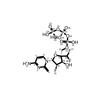 C=C1N=C(N)C=CN1[C@@H]1O[C@@](COP(=O)(O)OP(=O)(O)OP(=O)(O)O)(C(F)F)[C@@H](O)[C@H]1F